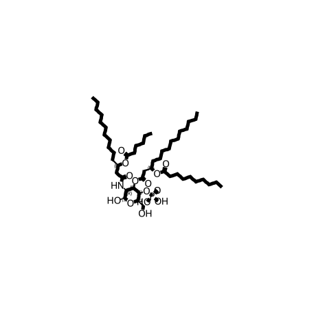 CCCCCCCCCCC[C@H](CC(=O)N[C@@H]1[C@@H](OC(=O)C[C@@H](CCCCCCCCCCC)OC(=O)CCCCCCCCC)[C@H](OP(=O)(O)O)[C@@H](CO)O[C@@H]1O)OC(=O)CCCCC